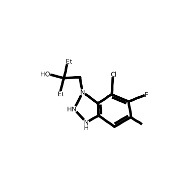 CCC(O)(CC)CN1NNc2cc(C)c(F)c(Cl)c21